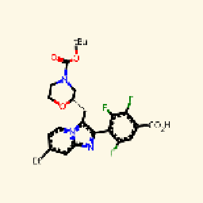 CCc1ccn2c(C[C@H]3CN(C(=O)OC(C)(C)C)CCO3)c(-c3c(F)cc(C(=O)O)c(F)c3F)nc2c1